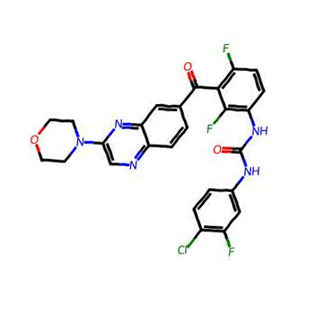 O=C(Nc1ccc(Cl)c(F)c1)Nc1ccc(F)c(C(=O)c2ccc3ncc(N4CCOCC4)nc3c2)c1F